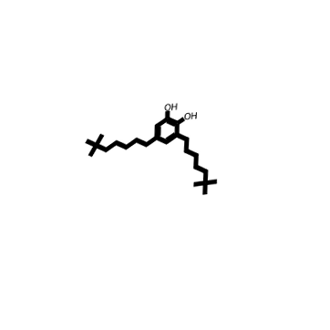 CC(C)(C)CCCCCc1cc(O)c(O)c(CCCCCC(C)(C)C)c1